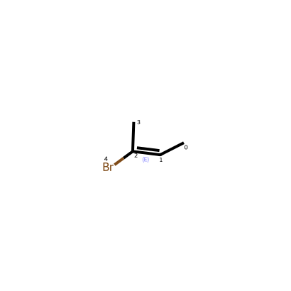 C/C=C(\C)Br